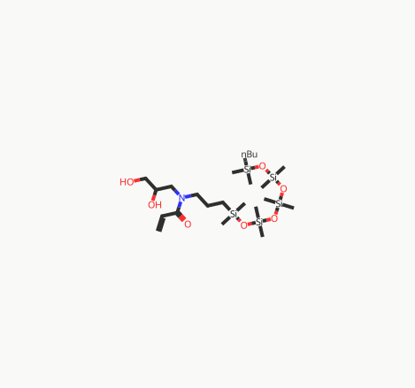 C=CC(=O)N(CCC[Si](C)(C)O[Si](C)(C)O[Si](C)(C)O[Si](C)(C)O[Si](C)(C)CCCC)CC(O)CO